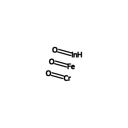 [O]=[Cr].[O]=[Fe].[O]=[InH]